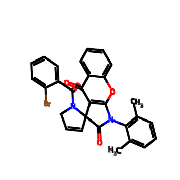 Cc1cccc(C)c1N1C(=O)C2(C=CCN2C(=O)c2ccccc2Br)c2c1oc1ccccc1c2=O